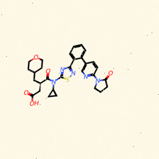 O=C(O)C[C@@H](CC1CCOCC1)C(=O)N(c1nc(-c2ccccc2-c2ccc(N3CCCC3=O)nc2)ns1)C1CC1